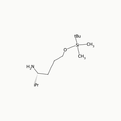 CC(C)[C@H](N)CCCO[Si](C)(C)C(C)(C)C